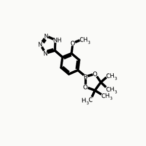 COc1cc(B2OC(C)(C)C(C)(C)O2)ccc1-c1nnn[nH]1